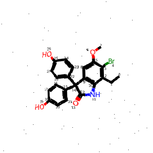 CCc1c(Br)c(OC)cc2c1NC(=O)C2(c1ccc(O)cc1)c1ccc(O)cc1